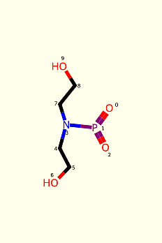 O=P(=O)N(CCO)CCO